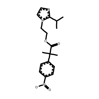 CC(C)c1nccn1CCOC(=O)C(C)(C)c1ccc([N+](=O)[O-])cc1